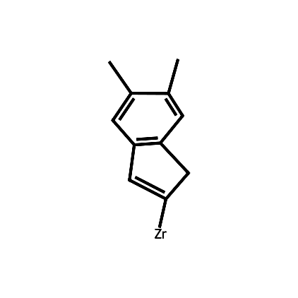 Cc1cc2c(cc1C)C[C]([Zr])=C2